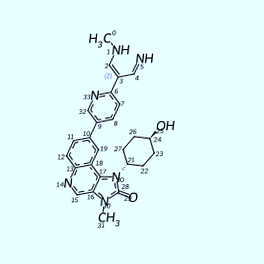 CN/C=C(\C=N)c1ccc(-c2ccc3ncc4c(c3c2)n([C@H]2CC[C@H](O)CC2)c(=O)n4C)cn1